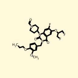 CCCOc1ccc(Cn2c(=O)c3cc(OC(CF)CF)c(F)cc3n(C3CCN(C=O)CC3)c2=O)cc1OC